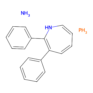 C1=CNC(c2ccccc2)=C(c2ccccc2)C=C1.N.P